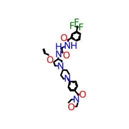 C=CCOC1CN(C2CCN(c3ccc(C(=O)N4CCOCC4)cc3)CC2)CC1NC(=O)CNC(=O)c1cccc(C(F)(F)F)c1